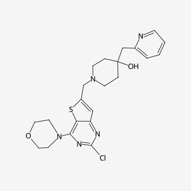 OC1(Cc2ccccn2)CCN(Cc2cc3nc(Cl)nc(N4CCOCC4)c3s2)CC1